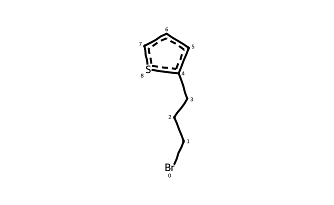 BrCCCc1cccs1